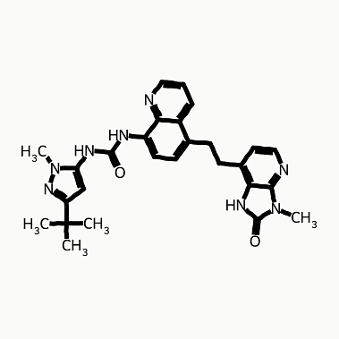 Cn1nc(C(C)(C)C)cc1NC(=O)Nc1ccc(CCc2ccnc3c2[nH]c(=O)n3C)c2cccnc12